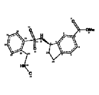 COC(=O)c1ccc2c(c1)[C@H](NS(=O)(=O)c1ccccc1CNCl)CC2